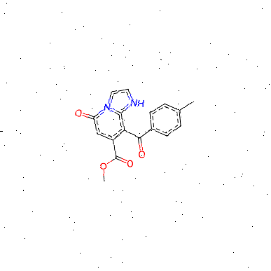 COC(=O)c1cc(=O)n2cc[nH]c2c1C(=O)c1ccc(C)cc1